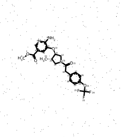 COC(=O)c1cnc(N)c(O[C@H]2CN(C(=O)Cc3ccc(OC(F)(F)F)cc3)C[C@@H]2C)c1